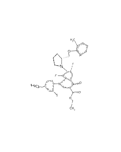 CCOC(=O)c1cn(-c2ccc(O)cc2F)c2c(F)c(N3CCC[C@@H]3COc3ncccc3C)c(F)cc2c1=O